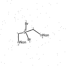 CCCCCCCCCC[Si](Br)(Br)CCCCCCCCCC